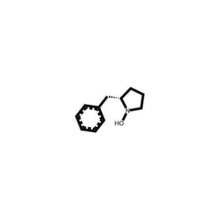 ON1CCC[C@H]1Cc1ccccc1